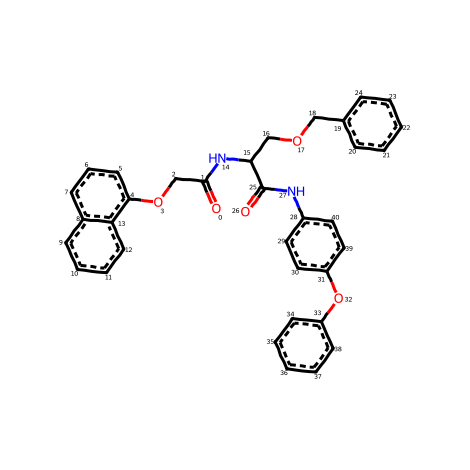 O=C(COc1cccc2ccccc12)NC(COCc1ccccc1)C(=O)Nc1ccc(Oc2ccccc2)cc1